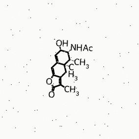 CC(=O)N[C@H]1[C@H](O)C=C2C=C3OC(=O)C(C)=C3C[C@]2(C)[C@H]1C